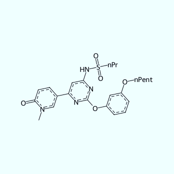 CCCCCOc1cccc(Oc2nc(NS(=O)(=O)CCC)cc(-c3ccc(=O)n(C)c3)n2)c1